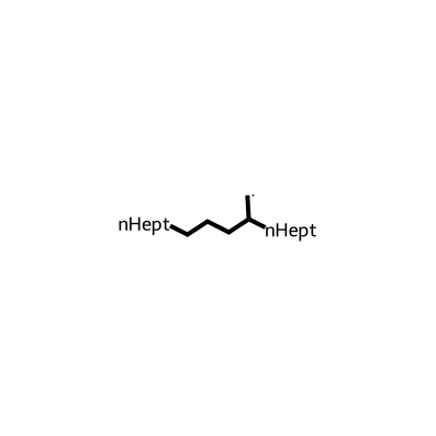 [CH2]C(CCCCCCC)CCCCCCCCCC